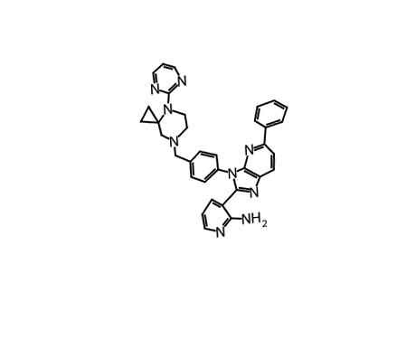 Nc1ncccc1-c1nc2ccc(-c3ccccc3)nc2n1-c1ccc(CN2CCN(c3ncccn3)C3(CC3)C2)cc1